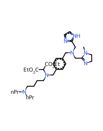 CCCN(CCC)CCCCN(Cc1ccc(CN(CC2=NCCN2C)Cc2ncc[nH]2)cc1)C(C(=O)OCC)C(=O)OCC